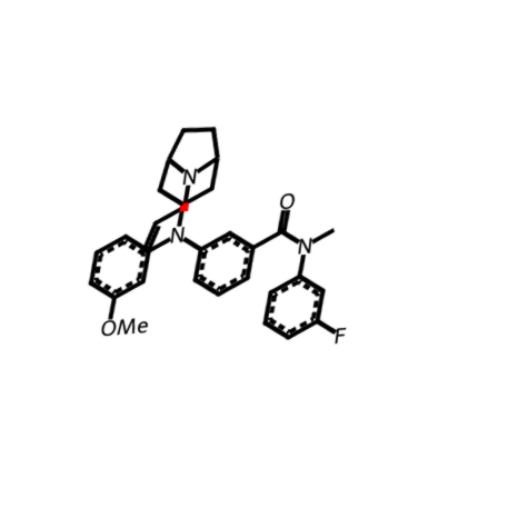 C=CCN1C2CCC1CC(N(c1cccc(OC)c1)c1cccc(C(=O)N(C)c3cccc(F)c3)c1)C2